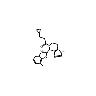 O=C(CCC1CC1)N1CCc2[nH]cnc2[C@H]1c1nc2cccc(F)c2s1